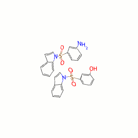 Nc1cccc(S(=O)(=O)n2ccc3ccccc32)c1.O=S(=O)(c1cccc(O)c1)n1ccc2ccccc21